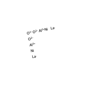 [Al+3].[Al+3].[La].[La].[Ni].[Ni].[O-2].[O-2].[O-2]